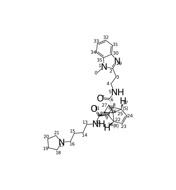 Cn1c(CCNC(=O)[C@H]2[C@H](C(=O)NCCCCN3CCCC3)[C@H]3C=C[C@@H]2C32CC2)nc2ccccc21